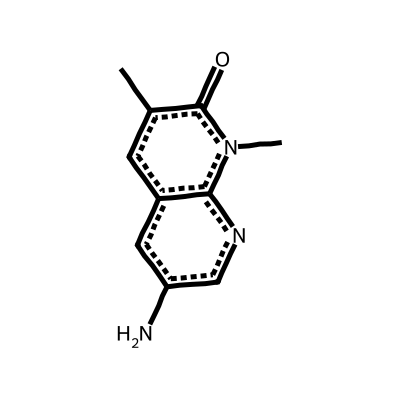 Cc1cc2cc(N)cnc2n(C)c1=O